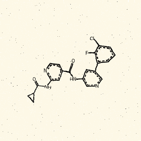 O=C(Nc1cncc(-c2cccc(Cl)c2F)c1)c1ccnc(NC(=O)C2CC2)c1